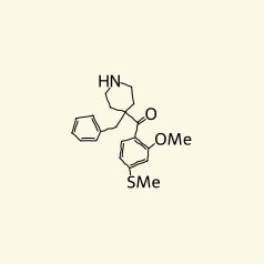 COc1cc(SC)ccc1C(=O)C1(Cc2ccccc2)CCNCC1